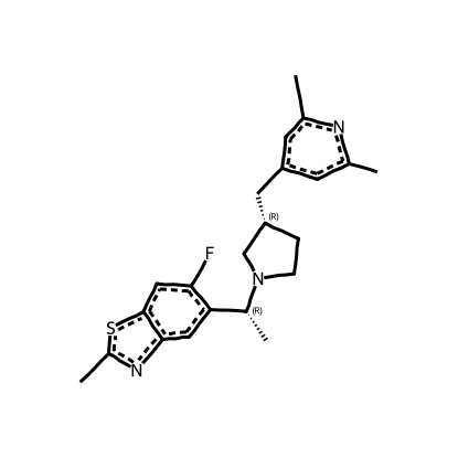 Cc1cc(C[C@@H]2CCN([C@H](C)c3cc4nc(C)sc4cc3F)C2)cc(C)n1